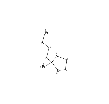 CCCC1(CCCC(C)C)SCCS1